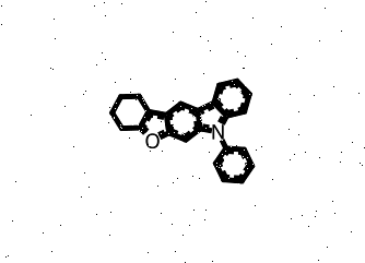 c1ccc(-n2c3ccccc3c3cc4c5c(oc4cc32)CCCC5)cc1